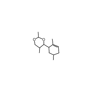 CC1=CCC(C)CC1C1OC(C)OCC1C